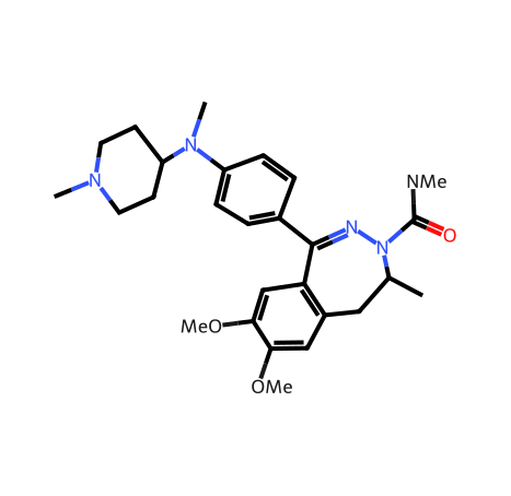 CNC(=O)N1N=C(c2ccc(N(C)C3CCN(C)CC3)cc2)c2cc(OC)c(OC)cc2CC1C